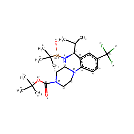 CC(C)[C@H](N[S@@+]([O-])C(C)(C)C)c1cc(C(F)(F)F)ccc1N1CCN(C(=O)OC(C)(C)C)CC1